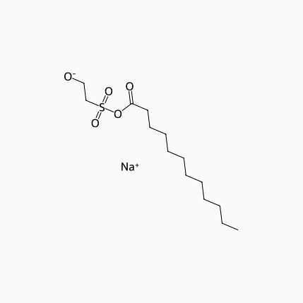 CCCCCCCCCCCC(=O)OS(=O)(=O)CC[O-].[Na+]